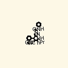 CCCC1=C(C#N)C(c2cccc3ocnc23)c2cn(C(=O)Nc3ccccc3)nc2N1